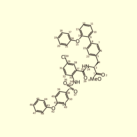 COC(=O)[C@H](Cc1ccc(-c2ccccc2Oc2ccccc2)cc1)NC(=O)c1cc(Cl)ccc1NS(=O)(=O)c1ccc(Oc2ccccc2)nc1